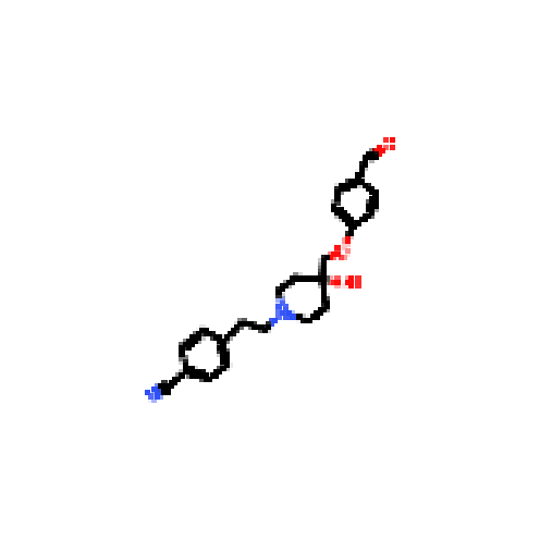 N#Cc1ccc(CCN2CCC(O)(COc3ccc(C=O)cc3)CC2)cc1